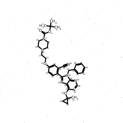 CC(C)(C)OC(=O)N1CCN(CCOc2ccc(-c3nc4c(OC5(C)CC5)ncnc4n3Cc3ccccc3)c(C#N)c2)CC1